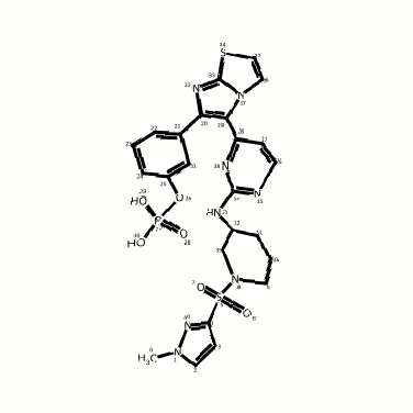 Cn1ccc(S(=O)(=O)N2CCCC(Nc3nccc(-c4c(-c5cccc(OP(=O)(O)O)c5)nc5sccn45)n3)C2)n1